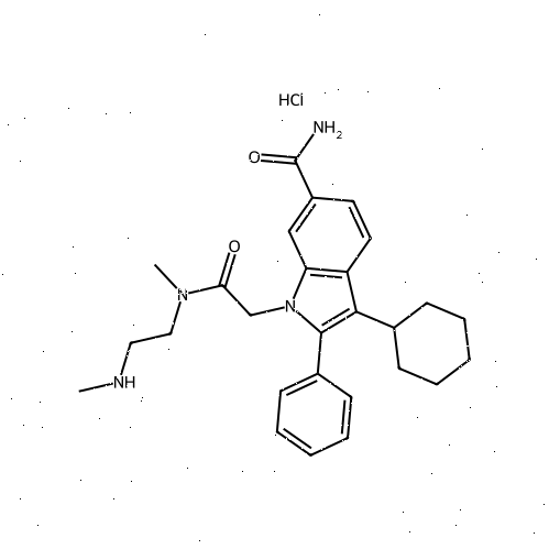 CNCCN(C)C(=O)Cn1c(-c2ccccc2)c(C2CCCCC2)c2ccc(C(N)=O)cc21.Cl